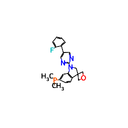 CP(C)c1ccc2c(c1)N(c1ncc(-c3ccccc3F)cn1)CC21COC1